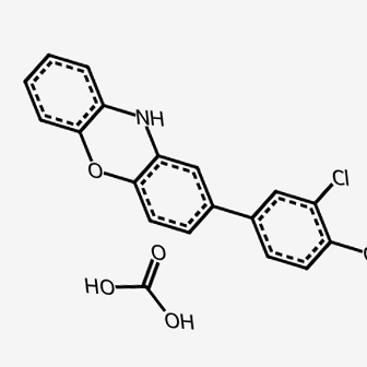 Clc1ccc(-c2ccc3c(c2)Nc2ccccc2O3)cc1Cl.O=C(O)O